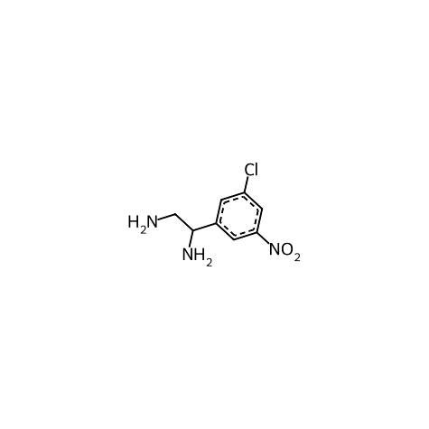 NCC(N)c1cc(Cl)cc([N+](=O)[O-])c1